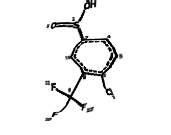 O=S(O)c1ccc(Cl)c(C(F)(F)F)c1